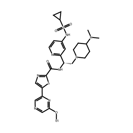 CCOc1cncc(-c2cnc(C(=O)N[C@@H](CN3CCC(N(C)C)CC3)c3cc(NS(=O)(=O)C4CC4)ccn3)s2)n1